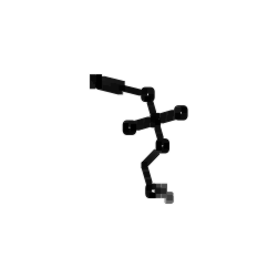 CCOS(=O)(=O)OC#N